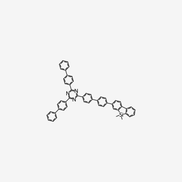 C[Si]1(C)c2ccccc2-c2ccc(-c3ccc(-c4ccc(-c5nc(-c6ccc(-c7ccccc7)cc6)nc(-c6ccc(-c7ccccc7)cc6)n5)cc4)cc3)cc21